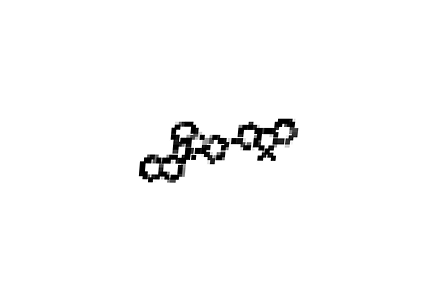 CC1(C)c2ccccc2-c2ccc(-c3ccc4c(c3)c3cccc5c6c7ccccc7ccc6n4c35)cc21